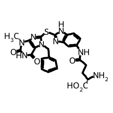 Cn1c(=O)[nH]c(=O)c2c1nc(Sc1nc3cc(NC(=O)CC[C@H](N)C(=O)O)ccc3[nH]1)n2Cc1ccccc1